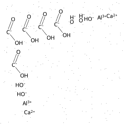 O=[C-]O.O=[C-]O.O=[C-]O.O=[C-]O.O=[C-]O.[Al+3].[Al+3].[Ca+2].[Ca+2].[OH-].[OH-].[OH-].[OH-].[OH-]